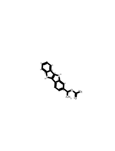 CCC(=O)OC(C)c1ccc2c(c1)sc1c3ccccc3sc21